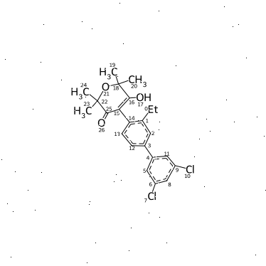 CCc1cc(-c2cc(Cl)cc(Cl)c2)ccc1C1=C(O)C(C)(C)OC(C)(C)C1=O